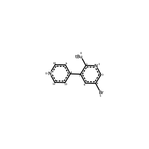 CC(C)(C)c1ncc(Br)cc1-c1ccncc1